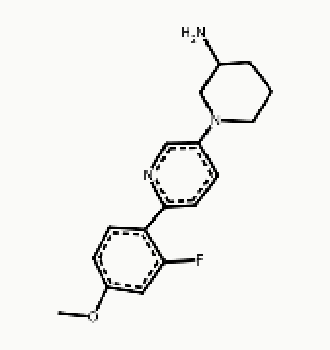 COc1ccc(-c2ccc(N3CCCC(N)C3)cn2)c(F)c1